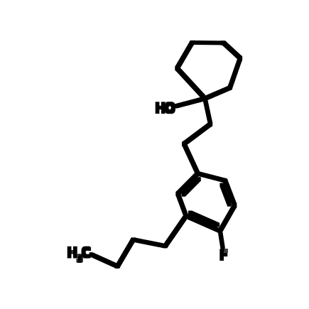 CCCCc1cc(CCC2(O)CCCCC2)ccc1F